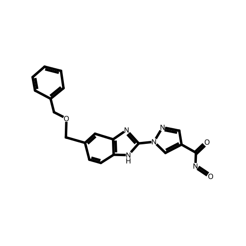 O=NC(=O)c1cnn(-c2nc3cc(COCc4ccccc4)ccc3[nH]2)c1